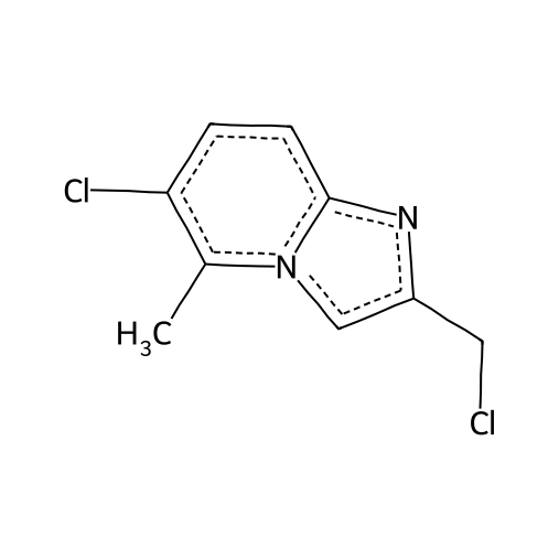 Cc1c(Cl)ccc2nc(CCl)cn12